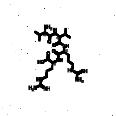 CC(C)[C@H](N)C(=O)N[C@H](C(=O)N[C@@H](CCCNC(=N)N)C(=O)N[C@@H](CCCNC(=N)N)C(=O)O)C(C)C